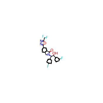 O=C1c2cc(-c3nnc(C(F)F)o3)ccc2CN1C(c1ccc(F)cc1)C(O)c1cccc(F)c1